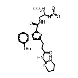 CC(C)(C)c1ccccc1.O=C(CCc1ccc(C(=O)NC[C@H](N=S(=O)=O)C(=O)O)s1)NC1=NCCCN1